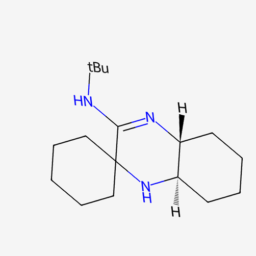 CC(C)(C)NC1=N[C@@H]2CCCC[C@H]2NC12CCCCC2